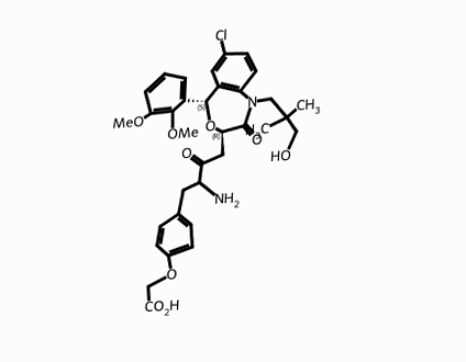 COc1cccc([C@H]2O[C@H](CC(=O)C(N)Cc3ccc(OCC(=O)O)cc3)C(=O)N(CC(C)(C)CO)c3ccc(Cl)cc32)c1OC